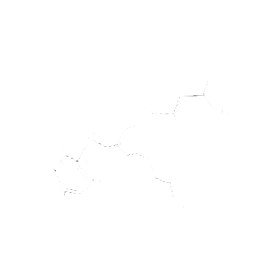 CC(C)CCCCCC(COCCO)Oc1ccccc1